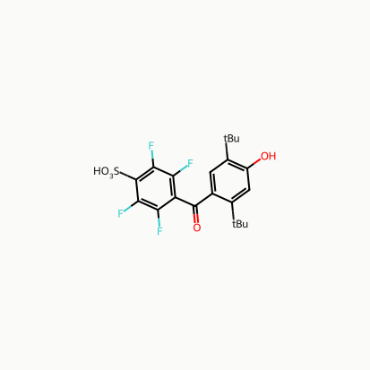 CC(C)(C)c1cc(C(=O)c2c(F)c(F)c(S(=O)(=O)O)c(F)c2F)c(C(C)(C)C)cc1O